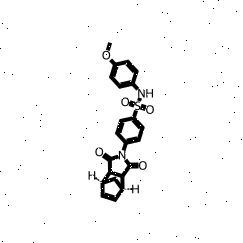 COc1ccc(NS(=O)(=O)c2ccc(N3C(=O)C4C(C3=O)[C@H]3C=C[C@@H]4C3)cc2)cc1